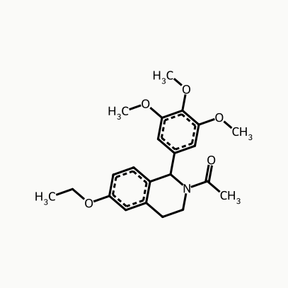 CCOc1ccc2c(c1)CCN(C(C)=O)C2c1cc(OC)c(OC)c(OC)c1